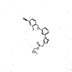 CCOC(=O)Cc1cnn(-c2cccc(OCc3ccc(C#N)cc3F)n2)c1